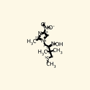 CSCC(C)(C)C(Cn1cc([N+](=O)[O-])nc1C)=NO